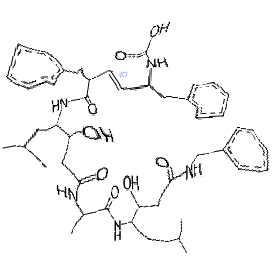 CC(C)CC(NC(=O)C(/C=C/C(Cc1ccccc1)NC(=O)O)Cc1ccccc1)C(O)CC(=O)NC(C)C(=O)NC(CC(C)C)C(O)CC(=O)NCc1ccccc1